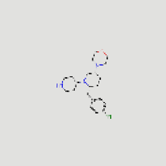 Clc1ccc(C[C@H]2CC[C@@H](N3CCOCC3)CN2C2CCNCC2)cc1